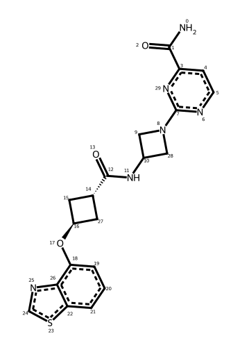 NC(=O)c1ccnc(N2CC(NC(=O)[C@H]3C[C@H](Oc4cccc5scnc45)C3)C2)n1